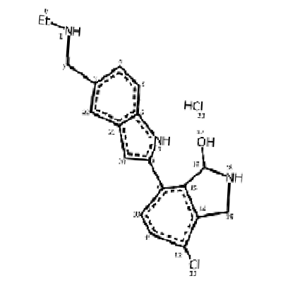 CCNCc1ccc2[nH]c(-c3ccc(Cl)c4c3C(O)NC4)cc2c1.Cl